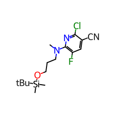 CN(CCCO[Si](C)(C)C(C)(C)C)c1nc(Cl)c(C#N)cc1F